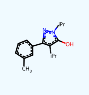 Cc1cccc(-c2nn(C(C)C)c(O)c2C(C)C)c1